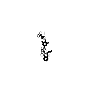 CCCCN(C(=O)c1ccccc1Cl)c1nnc(-c2cc(C)c(CN3CC(C(=O)O)C3)c(C)c2)s1